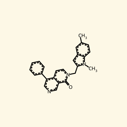 Cc1ccc2c(c1)cc(Cn1ccc3c(-c4ccccc4)cncc3c1=O)n2C